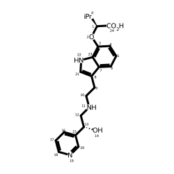 CC(C)[C@H](Oc1cccc2c(CCNC[C@H](O)c3cccnc3)c[nH]c12)C(=O)O